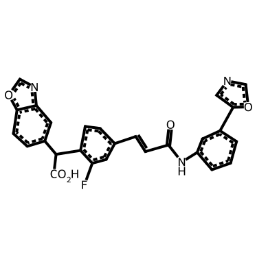 O=C(C=Cc1ccc(C(C(=O)O)c2ccc3ocnc3c2)c(F)c1)Nc1cccc(-c2cnco2)c1